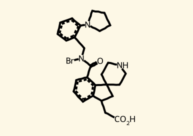 O=C(O)CC1CC2(CCNCC2)c2c(C(=O)N(Br)Cc3ccccc3N3CCCC3)cccc21